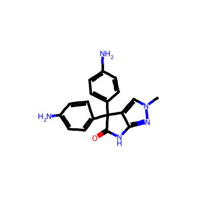 Cn1cc2c(n1)NC(=O)C2(c1ccc(N)cc1)c1ccc(N)cc1